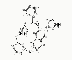 c1cc(Cn2cncn2)cc(Nc2ncc3cc(-c4cn[nH]c4)c(OCc4cnccn4)cc3n2)c1